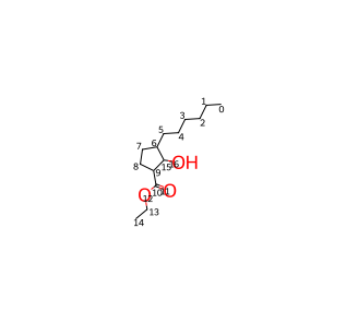 CCCCCCC1CCC(C(=O)OCC)C1O